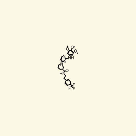 COc1cc(Nc2nccc(N3CCC[C@H](C(=O)NCCc4ccc(C(F)(F)F)cc4)C3)n2)cc(OC)c1OC